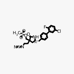 CS(=O)(=O)OCC1(CCN=[N+]=[N-])C[C@@H](Cc2ccc(-c3cc(Cl)ccc3F)cc2)NC1=O